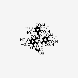 CCCCC(CC)COC(=O)c1c(C(=O)O)c(C(=O)O)c(C(=O)O)c(C(=O)OC(=O)c2c(C(=O)O)c(C(=O)O)c(C(=O)O)c(C(=O)O)c2C(=O)O)c1C(=O)OC(=O)c1c(C(=O)O)c(C(=O)O)c(C(=O)O)c(C(=O)O)c1C(=O)O